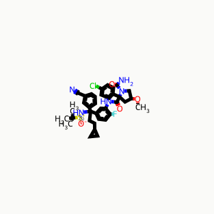 COC1CN(C(N)=O)C(C(=O)Nc2cc(C(CCC3CC3)(N[S@+]([O-])C(C)(C)C)c3cccc(C#N)c3)ccc2F)(c2ccc(Cl)cc2)C1